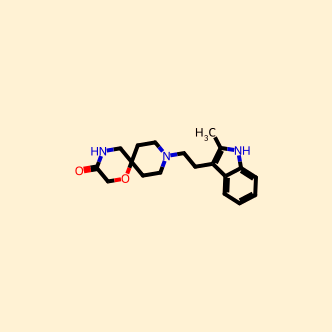 Cc1[nH]c2ccccc2c1CCN1CCC2(CC1)CNC(=O)CO2